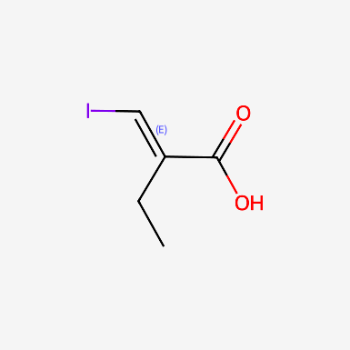 CC/C(=C\I)C(=O)O